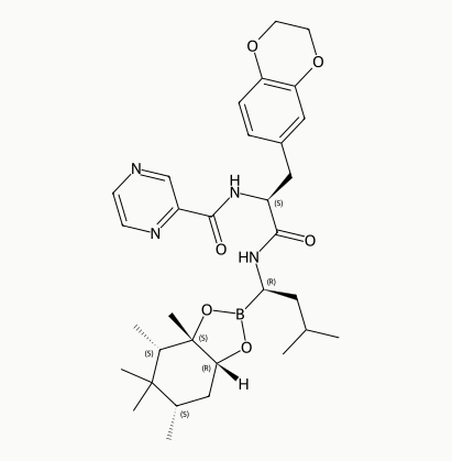 CC(C)C[C@H](NC(=O)[C@H](Cc1ccc2c(c1)OCCO2)NC(=O)c1cnccn1)B1O[C@@H]2C[C@H](C)C(C)(C)[C@H](C)[C@]2(C)O1